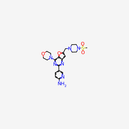 CS(=O)(=O)N1CCN(Cc2cc3nc(-c4ccc(N)nc4)nc(N4CCOCC4)c3o2)CC1